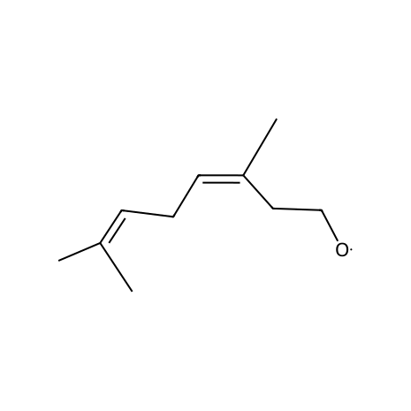 CC(C)=CCC=C(C)CC[O]